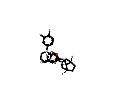 Fc1ccc(N2CCCn3nc(N[C@@H]4[C@@H]5CC[C@H]4CN(c4cnnc(Cl)c4)C5)nc32)cc1F